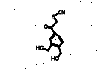 N#CSCC(=O)c1ccc(CO)c(CO)c1